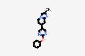 FC(F)(F)c1cn2ccc(-c3cnc(Oc4ccccc4)nc3)cc2n1